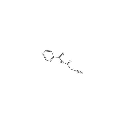 N#CCC(=O)NC(=O)c1ccccc1